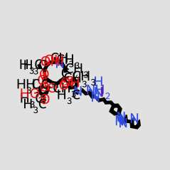 CC[C@H]1OC(=O)[C@H](C)[C@@H](O[C@H]2C[C@@](C)(OC)[C@@H](O)[C@H](C)O2)[C@H](C)[C@@H](O[C@H]2C[C@@H](N(C)CC/C(N)=C/N(CCCCc3ccc(-n4cc(-c5ccccn5)nn4)cc3)NI)C[C@@H](C)O2)[C@](C)(O)C[C@@H](C)CN(C)[C@H](C)[C@@H](O)[C@]1(C)O